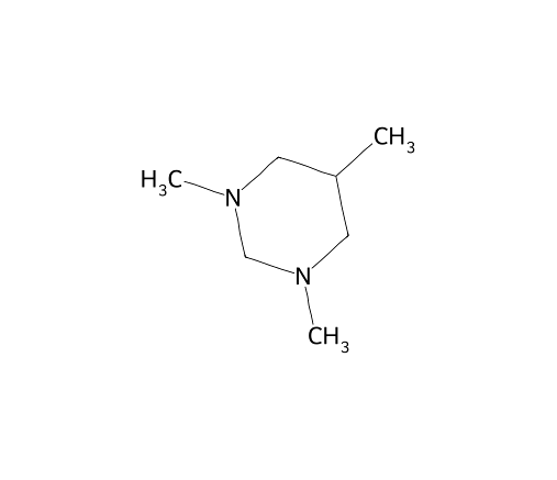 CC1CN(C)CN(C)C1